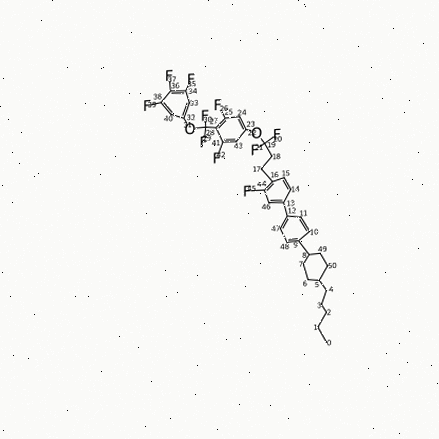 CCCCCC1CCC(c2ccc(-c3ccc(CCC(F)(F)Oc4cc(F)c(C(F)(F)Oc5cc(F)c(F)c(F)c5)c(F)c4)c(F)c3)cc2)CC1